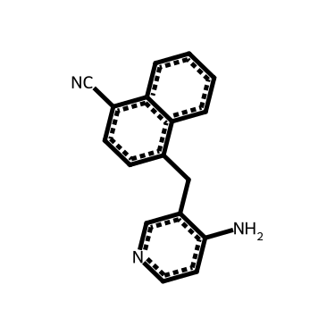 N#Cc1ccc(Cc2cnccc2N)c2ccccc12